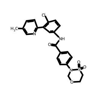 Cc1ccc(-c2cc(NC(=O)c3ccc(N4COCCS4(=O)=O)cc3)ccc2Cl)nc1